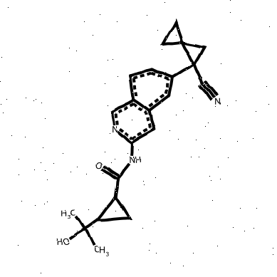 CC(C)(O)C1CC1C(=O)Nc1cc2cc(C3(C#N)CC34CC4)ccc2cn1